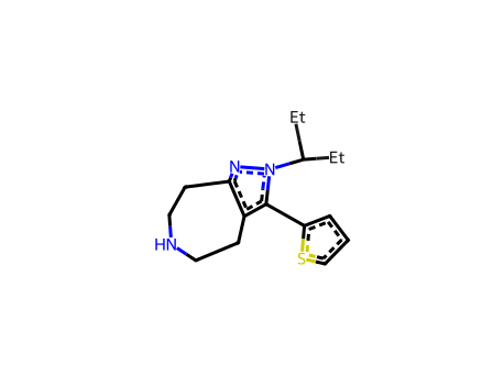 CCC(CC)n1nc2c(c1-c1cccs1)CCNCC2